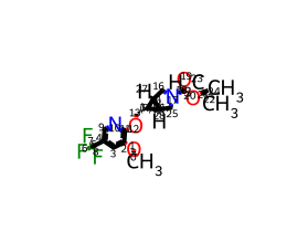 COc1cc(C(F)(F)F)cnc1OC[C@@H]1[C@H]2CN(C(=O)OC(C)(C)C)C[C@@H]12